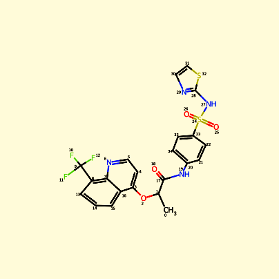 CC(Oc1ccnc2c(C(F)(F)F)cccc12)C(=O)Nc1ccc(S(=O)(=O)Nc2nccs2)cc1